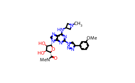 CNC(=O)[C@H]1O[C@@H](n2cnc3c(NC4CN(C)C4)nc(-n4cc(-c5cccc(OC)c5)nn4)nc32)[C@H](O)[C@@H]1O